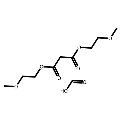 COCCOC(=O)CC(=O)OCCOC.O=CO